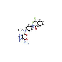 CN(C(=O)c1nc[nH]c1C(N)=O)c1ccc(NC(=O)c2ccccc2C(F)F)cc1